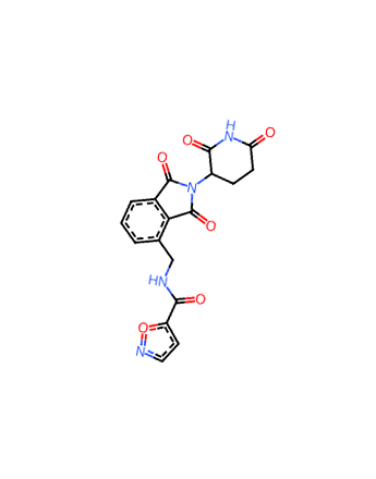 O=C1CCC(N2C(=O)c3cccc(CNC(=O)c4ccno4)c3C2=O)C(=O)N1